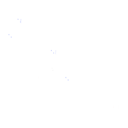 O=C(Nc1cn[nH]c1)N1CCC(O)CC1